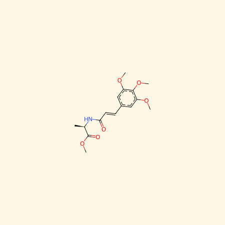 COC(=O)[C@@H](C)NC(=O)/C=C/c1cc(OC)c(OC)c(OC)c1